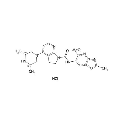 COc1nn2nc(C)cc2cc1NC(=O)N1CCc2c(N3C[C@@H](C)N[C@@H](C)C3)ccnc21.Cl